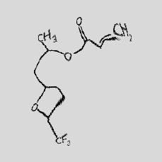 C=CC(=O)OC(C)CC1CC(C(F)(F)F)O1